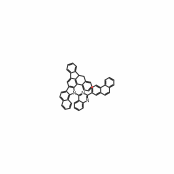 c1ccc2c(c1)CC1c3ccccc3-c3cc4c5ccc6ccccc6c5n(-c5nc(-c6ccc7c(ccc8ccccc87)c6)nc6ccccc56)c4c-2c31